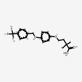 CC(C)(CCOc1ccc(OCc2ccc(C(F)(F)F)cc2)cc1)C(=O)O